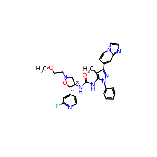 COCCN1C[C@@H](NC(=O)Nc2c(C)c(-c3ccn4ccnc4c3)nn2-c2ccccc2)[C@H](c2ccnc(F)c2)O1